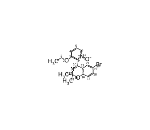 CCOc1ccc[n+]([O-])c1C1=NC(C)(C)Oc2ccc(Br)cc21